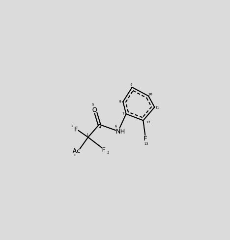 CC(=O)C(F)(F)C(=O)Nc1ccccc1F